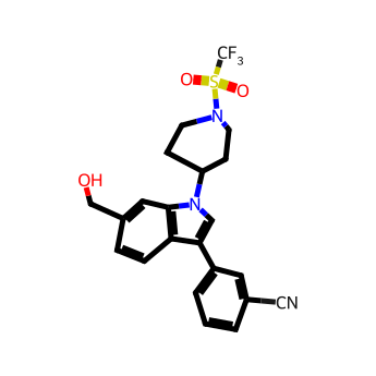 N#Cc1cccc(-c2cn(C3CCN(S(=O)(=O)C(F)(F)F)CC3)c3cc(CO)ccc23)c1